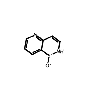 [O-][S+]1NC=Cc2ncccc21